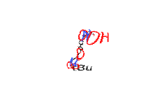 CC(C)(C)OC(=O)N1CCC(COc2ccc(C3=CCC(C(=O)N4CCC(O)C4)CC3)cc2)CC1